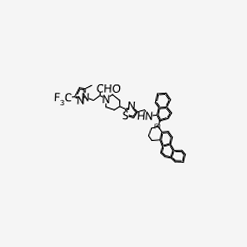 Cc1cc(C(F)(F)F)nn1CC(C=O)N1CCC(c2nc(CNc3c([C@@H]4CCCc5c4ccc4c5ccc5ccccc54)ccc4ccccc34)cs2)CC1